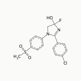 CS(=O)(=O)c1ccc(N2CC(O)(F)N=C2c2ccc(Cl)cc2)cc1